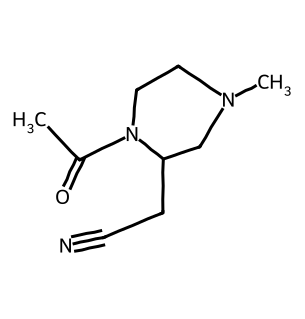 CC(=O)N1CCN(C)CC1CC#N